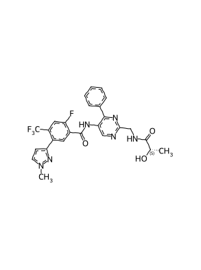 C[C@H](O)C(=O)NCc1ncc(NC(=O)c2cc(-c3ccn(C)n3)c(C(F)(F)F)cc2F)c(-c2ccccc2)n1